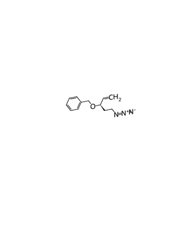 C=C[C@@H](CCN=[N+]=[N-])OCc1ccccc1